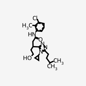 Cc1c(Cl)cccc1NC(=O)CC(CCO)c1nnc(CCC(C)C)n1C1CC1